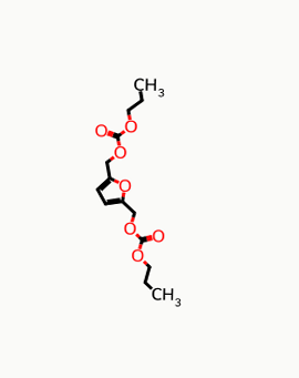 CCCOC(=O)OCc1ccc(COC(=O)OCCC)o1